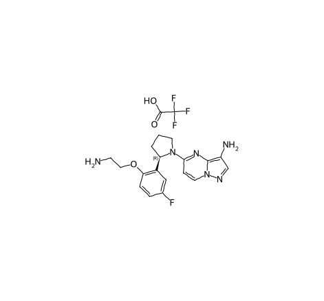 NCCOc1ccc(F)cc1[C@H]1CCCN1c1ccn2ncc(N)c2n1.O=C(O)C(F)(F)F